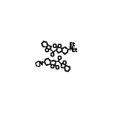 CCN(CC)c1ccc2cc(C(=O)c3cc4ccccc4o3)c(=O)oc2c1.O=C(c1cc2ccccc2o1)c1cc2ccc(N3CCCC3)cc2oc1=O